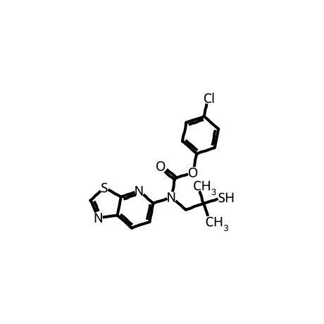 CC(C)(S)CN(C(=O)Oc1ccc(Cl)cc1)c1ccc2ncsc2n1